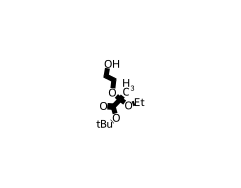 CCOC(C)(OCCO)C(=O)OC(C)(C)C